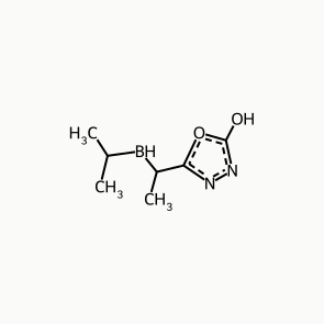 CC(C)BC(C)c1nnc(O)o1